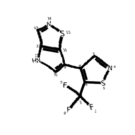 FC(F)(F)c1sncc1-c1c[nH]c2cnsc12